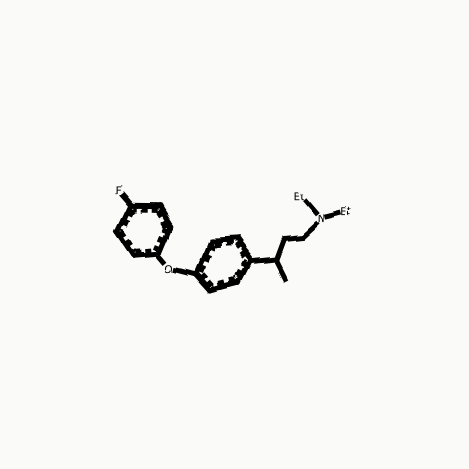 CCN(CC)CCC(C)c1ccc(Oc2ccc(F)cc2)cc1